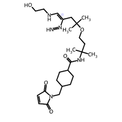 CC(C)(CCOC(C)(C)C/C(=C/NCCO)N=N)NC(=O)C1CCC(CN2C(=O)C=CC2=O)CC1